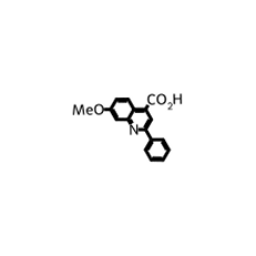 COc1ccc2c(C(=O)O)cc(-c3ccccc3)nc2c1